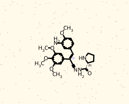 COc1ccc(/C=C(/C#N)c2cc(OC)c(OC)c(OC)c2)cc1N.NC(=O)[C@H]1CCCN1